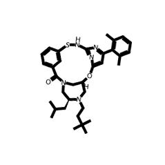 Cc1cccc(C)c1-c1cc2nc(n1)NSc1cccc(c1)C(=O)N1C[C@@H](CN(CCC(C)(C)C)[C@@H](CC(C)C)C1)O2